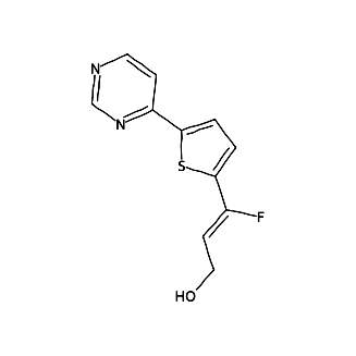 OCC=C(F)c1ccc(-c2ccncn2)s1